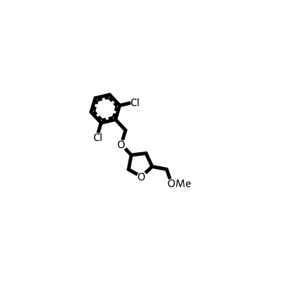 COCC1CC(OCc2c(Cl)cccc2Cl)CO1